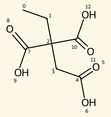 CCC([CH]C(=O)O)(C(=O)O)C(=O)O